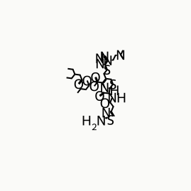 CCCC(OC(=O)CC(CC)CC)OC(=O)C1=C(CSc2nnnn2CCN(C)C)CS[C@H]2[C@H](NC(=O)Cc3csc(N)n3)C(=O)N12